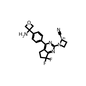 N#C[C@H]1CCN1c1nc(-c2ccc(C3(N)COC3)cc2)c2c(n1)C(F)(F)CC2